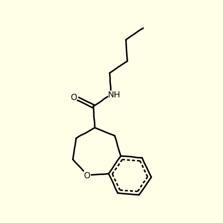 CCCCNC(=O)C1CCOc2ccccc2C1